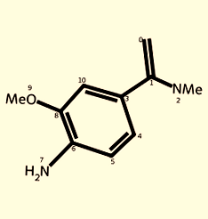 C=C(NC)c1ccc(N)c(OC)c1